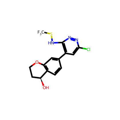 O[C@H]1CCOc2cc(-c3cc(Cl)nnc3NSC(F)(F)F)ccc21